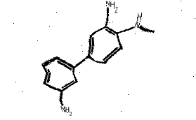 CNc1ccc(-c2cccc(N)c2)cc1N